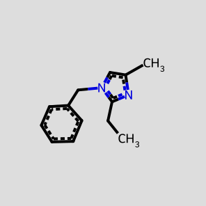 CCc1nc(C)cn1Cc1ccccc1